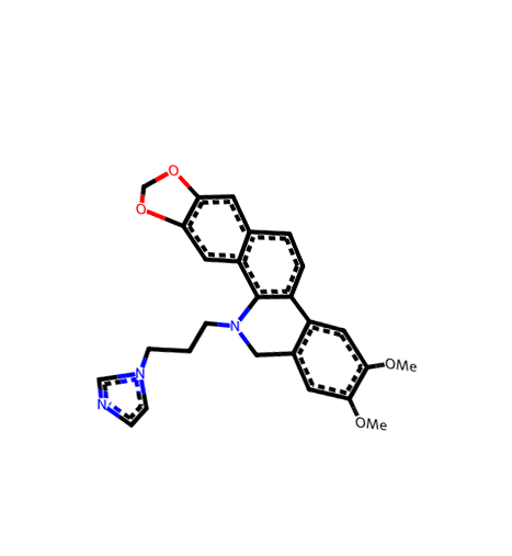 COc1cc2c(cc1OC)-c1ccc3cc4c(cc3c1N(CCCn1ccnc1)C2)OCO4